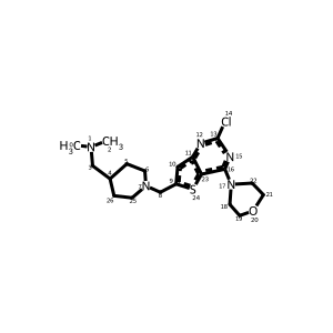 CN(C)CC1CCN(Cc2cc3nc(Cl)nc(N4CCOCC4)c3s2)CC1